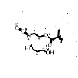 C=C(C)C(=O)OCCN=C=O.OCCO